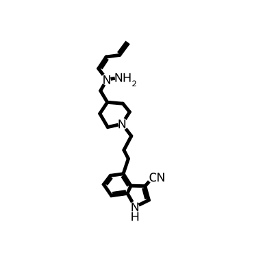 C=C/C=C\N(N)CC1CCN(CCCc2cccc3[nH]cc(C#N)c23)CC1